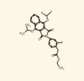 CCOC(=O)Cc1ccc(N2C(=O)c3c(c(OC(F)F)c4ccccc4c3OC(C)C)C2=O)cc1F